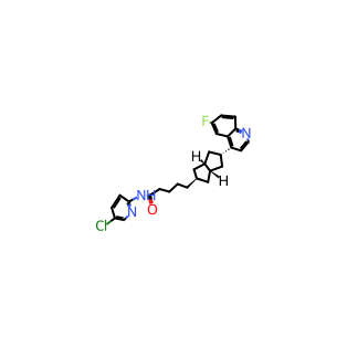 O=C(CCCC[C@H]1C[C@@H]2C[C@H](c3ccnc4ccc(F)cc34)C[C@@H]2C1)Nc1ccc(Cl)cn1